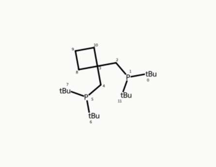 CC(C)(C)P(CC1(CP(C(C)(C)C)C(C)(C)C)CCC1)C(C)(C)C